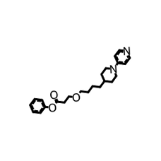 O=C(CCOCCCCC1CCN(c2ccncc2)CC1)Oc1ccccc1